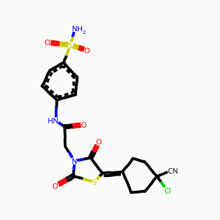 N#CC1(Cl)CCC(=C2SC(=O)N(CC(=O)Nc3ccc(S(N)(=O)=O)cc3)C2=O)CC1